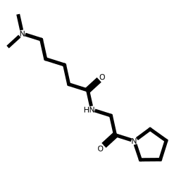 CN(C)CCCCC(=O)NCC(=O)N1CCCC1